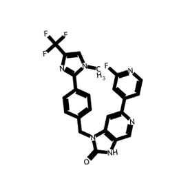 Cn1cc(C(F)(F)F)nc1-c1ccc(Cn2c(=O)[nH]c3cnc(-c4ccnc(F)c4)cc32)cc1